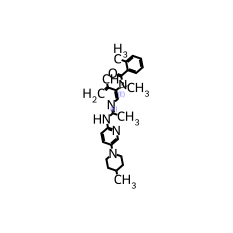 C=C(C)/C(=C\N=C(/C)Nc1ccc(N2CCC(C)CC2)cn1)N(C)C(=O)c1ccccc1C